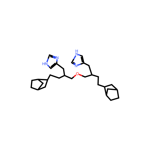 c1nc(CC(CCC2CC3CCC2C3)COCC(CCC2CC3CCC2C3)Cc2c[nH]cn2)c[nH]1